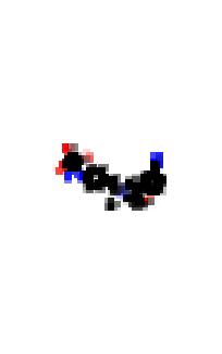 N#Cc1ccc2c(c1)[C@@H]1CN(CCC3CCC(Nc4c([O-])c(=O)c4=O)CC3)C[C@H]1CO2.[Na+]